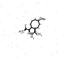 C=C(I)C(=N)C1CCCC(OI)CC/C1=C(\C)N